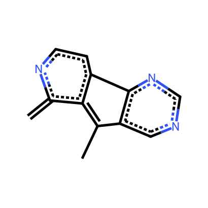 C=c1nccc2c1=C(C)c1cncnc1-2